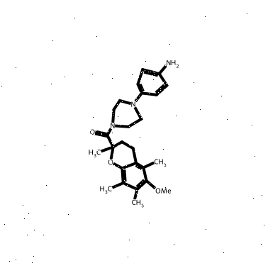 COc1c(C)c(C)c2c(c1C)CCC(C)(C(=O)N1CCN(c3ccc(N)cc3)CC1)O2